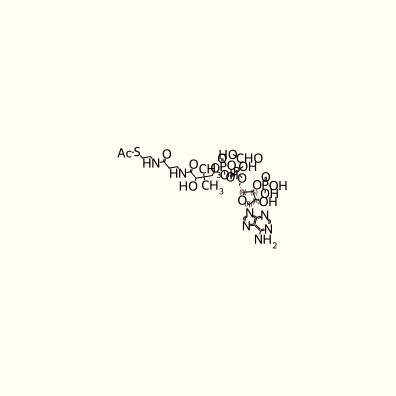 CC(=O)SCCNC(=O)CCNC(=O)C(O)C(C)(C)COP(=O)(O)OP(=O)(O)OC[C@H]1O[C@@H](n2cnc3c(N)ncnc32)[C@H](O)[C@@H]1OP(=O)(O)O.O=CO